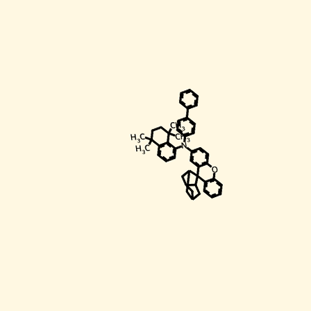 CC1(C)CCC(C)(C)c2c(N(c3ccc(-c4ccccc4)cc3)c3ccc4c(c3)C3(c5ccccc5O4)C4CC5CC(C4)C3C5)cccc21